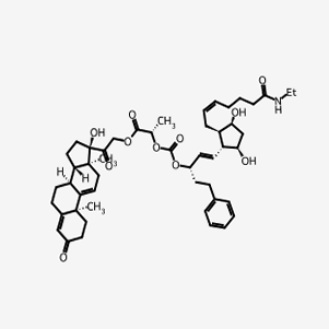 CCNC(=O)CCC/C=C\C[C@@H]1[C@@H](/C=C/[C@H](CCc2ccccc2)OC(=O)O[C@@H](C)C(=O)OCC(=O)[C@@]2(O)CC[C@H]3[C@@H]4CCC5=CC(=O)CC[C@]5(C)C4=CC[C@@]32C)[C@H](O)C[C@@H]1O